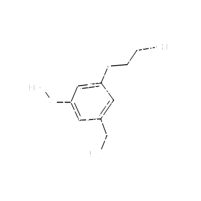 CCCCc1cc([CH]O)cc(OC)c1